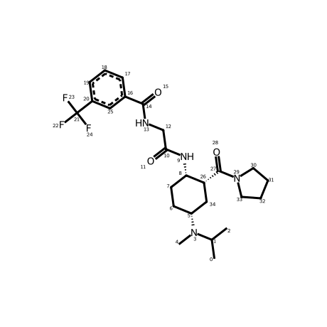 CC(C)N(C)[C@@H]1CC[C@H](NC(=O)CNC(=O)c2cccc(C(F)(F)F)c2)[C@H](C(=O)N2CCCC2)C1